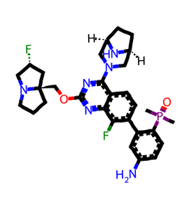 CP(C)(=O)c1ccc(N)cc1-c1ccc2c(N3C[C@H]4CC[C@@H](C3)N4)nc(OC[C@@]34CCCN3C[C@H](F)C4)nc2c1F